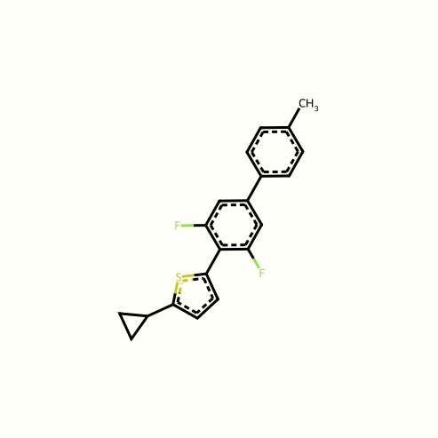 Cc1ccc(-c2cc(F)c(-c3ccc(C4CC4)s3)c(F)c2)cc1